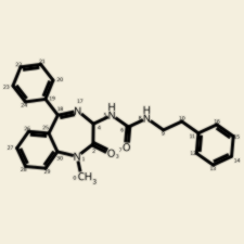 CN1C(=O)C(NC(=O)NCCc2ccccc2)N=C(c2ccccc2)c2ccccc21